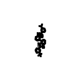 CC(C)c1cccc(-c2nc3cccc(-c4cccc5sc(-c6cccc(C(C)(C)C)c6)nc45)c3o2)c1